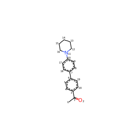 CC(=O)c1ccc(-c2ccc(N3CCCCC3)cc2)cc1